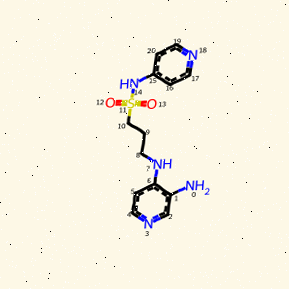 Nc1cnccc1NCCCS(=O)(=O)Nc1ccncc1